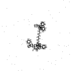 C[C@@H]1C(COC(=O)c2ccccc2)O[C@@H](OCCCCCCCCCCO[Si](c2ccccc2)(c2ccccc2)C(C)(C)C)C(OC(=O)c2ccccc2)[C@H]1C